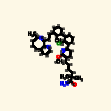 COc1nc(-c2cccc(-c3cccc(/C=C/C4=N/C(C)=C\CCc5cccnc54)c3C)c2Cl)ccc1C/C=C/CC(C)(C)C(N)=O